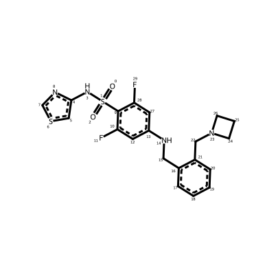 O=S(=O)(Nc1cscn1)c1c(F)cc(NCc2ccccc2CN2CCC2)cc1F